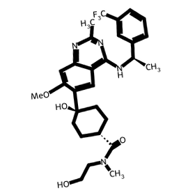 COc1cc2nc(C)nc(N[C@H](C)c3cccc(C(F)(F)F)c3)c2cc1[C@]1(O)CC[C@H](C(=O)N(C)CCO)CC1